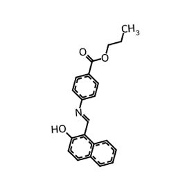 CCCOC(=O)c1ccc(/N=C/c2c(O)ccc3ccccc23)cc1